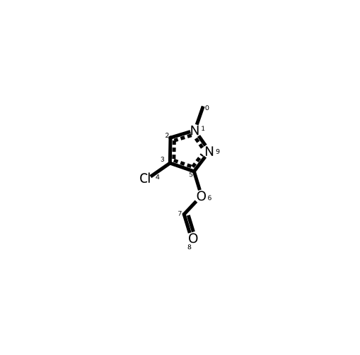 Cn1cc(Cl)c(OC=O)n1